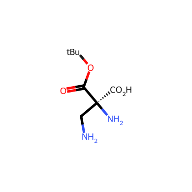 CC(C)(C)OC(=O)[C@@](N)(CN)C(=O)O